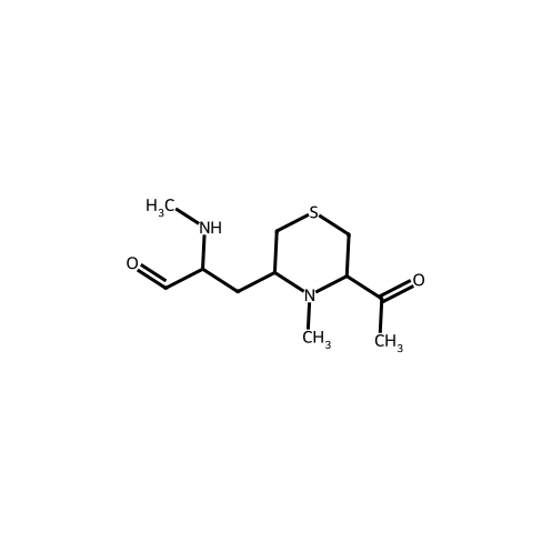 CNC(C=O)CC1CSCC(C(C)=O)N1C